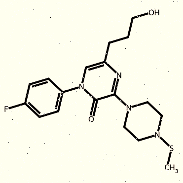 CSN1CCN(c2nc(CCCO)cn(-c3ccc(F)cc3)c2=O)CC1